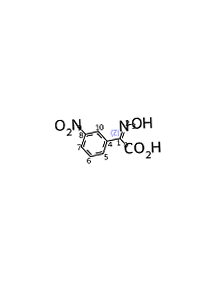 O=C(O)/C(=N\O)c1cccc([N+](=O)[O-])c1